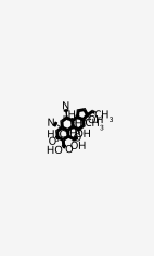 CC[C@]1(O)CC[C@H]2[C@H]3[C@H]([C@H](O)C[C@@]21C)[C@@]1(C)C(C(=O)O)C(C(=O)O)C(=O)C[C@@]1(C#N)C[C@H]3C#N